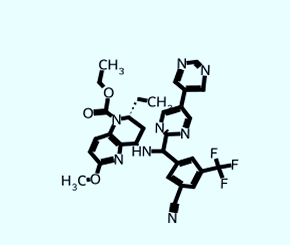 CCOC(=O)N1c2ccc(OC)nc2[C@@H](NC(c2cc(C#N)cc(C(F)(F)F)c2)c2ncc(-c3cncnc3)cn2)C[C@H]1CC